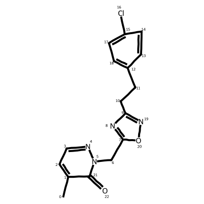 Cc1ccnn(Cc2nc(CCc3ccc(Cl)cc3)no2)c1=O